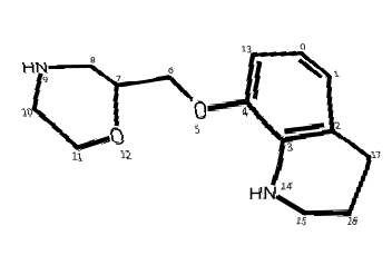 c1cc2c(c(OCC3CNCCO3)c1)NCCC2